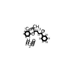 C[N]([Ge][c]1ccccc1)C(=O)CCC(=O)c1ccccc1.O.O.O